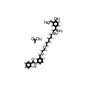 CC(=O)O.O=C(Nc1cccc(COCCOCCCCCCNC[C@H](O)c2ccc(O)c(CO)c2)c1)c1ccccc1